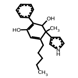 CCCCCC1=CC(O)=C(c2ccccc2)C(O)C1(C)c1cc[nH]c1